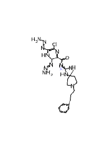 NN=NC1=C(Cl)N=C(C(=O)/N=C2\NCC3(CCN(CCCc4ccccc4)CC3)N2)C(N=NN)N1